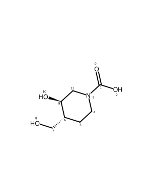 O=C(O)N1CC[C@H](CO)[C@@H](O)C1